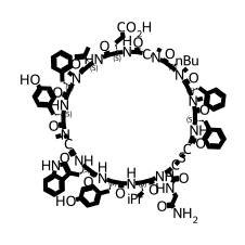 C=C(C)[C@@H]1NC(=O)[C@H](CCC(=O)O)NC(=O)CN(C)C(=O)[C@H](CCCC)N(C)C(=O)[C@H](Cc2ccccc2)N(C)C(=O)[C@H](Cc2ccccc2)NC(=O)CSC[C@@H](C(=O)NCC(N)=O)NC(=O)[C@H](CC(C)C)NC(=O)[C@H](Cc2ccc(O)cc2)NC(=O)[C@H](Cc2c[nH]c3ccccc23)NC(=O)CN(C)C(=O)[C@H](Cc2ccc(O)cc2)NC(=O)[C@H](Cc2ccccc2)N(C)C1=O